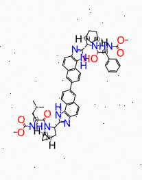 COC(=O)N[C@@H](CC(C)C)C(=O)N1C(c2nc3ccc4cc(-c5ccc6c(ccc7nc(C8[C@H]9CC[C@H](C9)N8C(O)[C@H](NC(=O)OC)c8ccccc8)[nH]c76)c5)ccc4c3[nH]2)C[C@H]2C[C@H]21